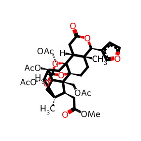 COC(=O)C[C@H]1[C@@]2(C)CC34OC5(C)O[C@]6([C@@H]7CC(=O)O[C@@H](c8ccoc8)[C@]7(C)CC[C@]6(O5)[C@]13COC(C)=O)[C@H](OC(C)=O)[C@@]4(OC(C)=O)[C@H]2OC(C)=O